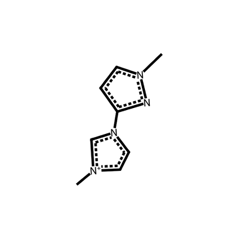 Cn1ccc(-n2cc[n+](C)c2)n1